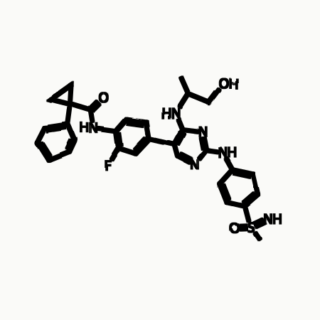 CC(CO)Nc1nc(Nc2ccc(S(C)(=N)=O)cc2)ncc1-c1ccc(NC(=O)C2(c3ccccc3)CC2)c(F)c1